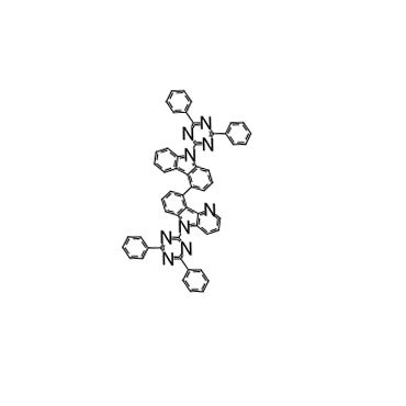 c1ccc(-c2nc(-c3ccccc3)nc(-n3c4ccccc4c4c(-c5cccc6c5c5ncccc5n6-c5nc(-c6ccccc6)nc(-c6ccccc6)n5)cccc43)n2)cc1